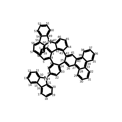 c1ccc2c(c1)-c1cc(-n3c4ccccc4c4ccccc43)ccc1-c1cc3c4ccccc4c4ccccc4c3cc1-c1cccc(-n3c4ccccc4c4ccccc43)c1-2